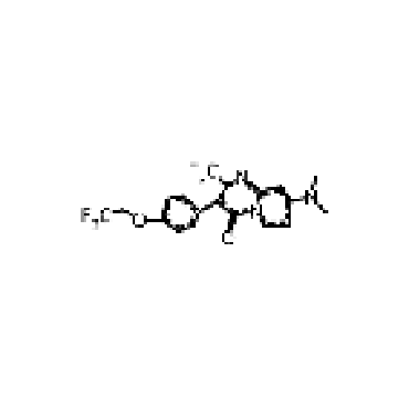 CN(C)c1ccn2c(=O)c(-c3ccc(OCC(F)(F)F)cc3)c(C(F)(F)F)nc2c1